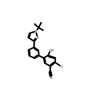 CC(C)(C)n1ccc(-c2cccc(-c3cc(C#N)c(Cl)cc3O)c2)n1